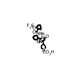 O=C(Nc1cccc2nn3c(C4CCN(C(=O)O)CC4)cc(=O)[nH]c3c12)c1ccccc1OC(F)(F)F